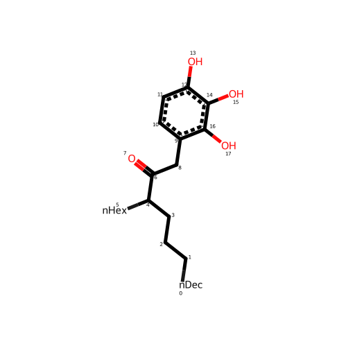 CCCCCCCCCCCCCC(CCCCCC)C(=O)Cc1ccc(O)c(O)c1O